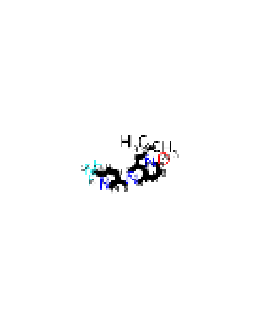 CC(C)[C@H]1CC2CN(Cc3ccc(C(F)(F)F)nc3)C[C@H]3CCC(=O)N1C23